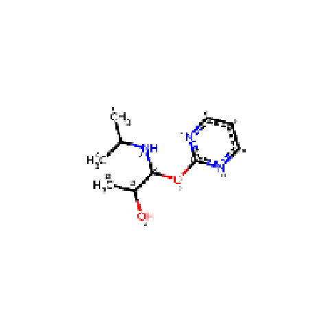 CC(C)NC(Oc1ncccn1)C(C)O